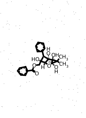 CC1(C)[C@]2(O)[C@@]1(O)O[C@@H]1[C@](O)(COC(=O)c3ccccc3)C(c3ccccc3)[C@]12O